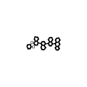 c1ccc2c(c1)Oc1cc(-c3ccc(-c4ccc(-c5c6ccccc6cc6ccccc56)c5ccccc45)c4ccccc34)c3ccccc3c1O2